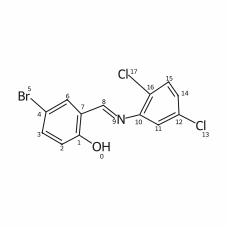 Oc1ccc(Br)cc1C=Nc1cc(Cl)ccc1Cl